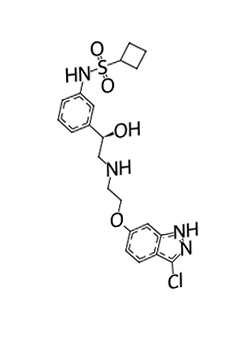 O=S(=O)(Nc1cccc([C@@H](O)CNCCOc2ccc3c(Cl)n[nH]c3c2)c1)C1CCC1